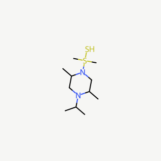 CC(C)N1CC(C)N(S(C)(C)S)CC1C